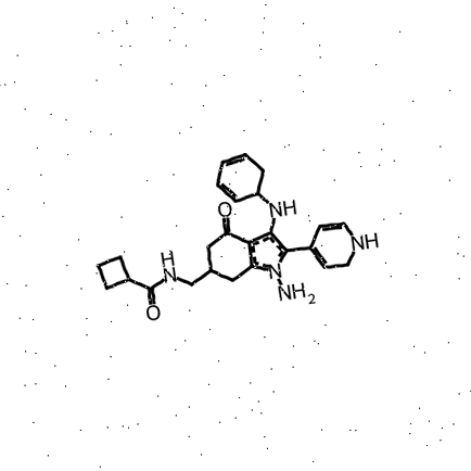 Nn1c2c(c(NC3C=CC=CC3)c1C1=CCNC=C1)C(=O)CC(CNC(=O)C1CCC1)C2